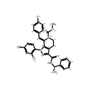 C[C@@H](NC(=O)c1nn(-c2ccc(Cl)cc2Cl)c2c1CCN(C(=O)OC(C)(C)C)/C2=C\c1ccc(F)cc1)c1ccccc1